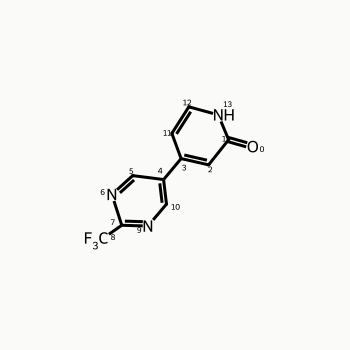 O=c1cc(-c2cnc(C(F)(F)F)nc2)cc[nH]1